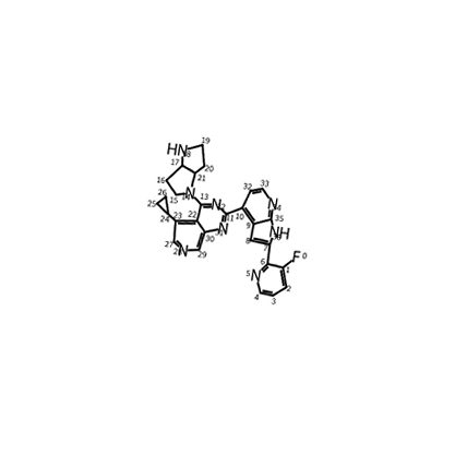 Fc1cccnc1-c1cc2c(-c3nc(N4CCC5NCCC54)c4c(C5CC5)cncc4n3)ccnc2[nH]1